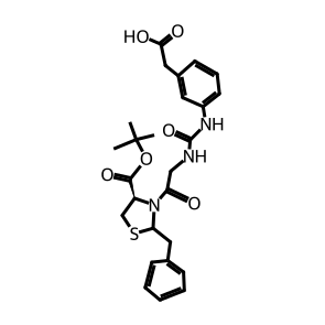 CC(C)(C)OC(=O)[C@@H]1CSC(Cc2ccccc2)N1C(=O)CNC(=O)Nc1cccc(CC(=O)O)c1